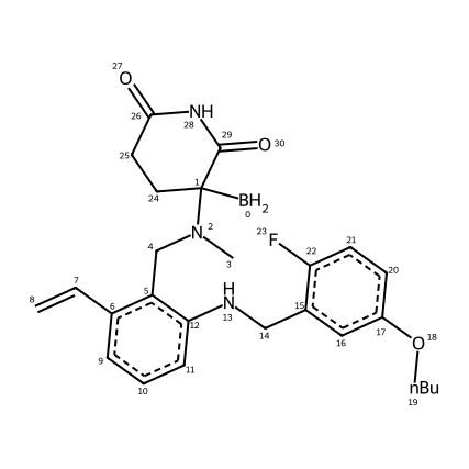 BC1(N(C)Cc2c(C=C)cccc2NCc2cc(OCCCC)ccc2F)CCC(=O)NC1=O